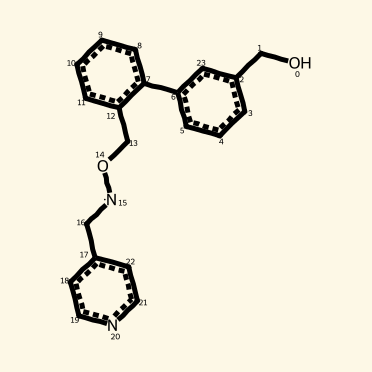 OCc1cccc(-c2ccccc2CO[N]Cc2ccncc2)c1